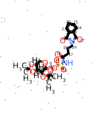 CC1(C)O[C@@H]2[C@@H](CO[C@@]3(COS(=O)(=O)NC(=O)CCCN4C(=O)c5ccccc5C4=O)OC(C)(C)O[C@@H]23)O1